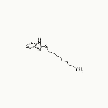 CCCCCCCCCSc1nc2cscc2[nH]1